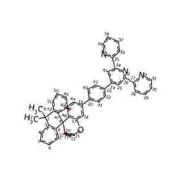 CC1(C)c2ccccc2C2(c3ccccc3Oc3cc(-c4ccc(-c5cc(-c6ccccn6)nc(-c6ccccn6)c5)cc4)ccc32)c2ccccc21